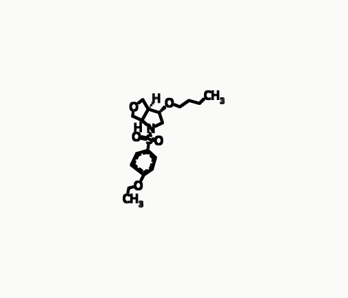 CCCCO[C@H]1CN(S(=O)(=O)c2ccc(OCC)cc2)[C@H]2COC[C@@H]12